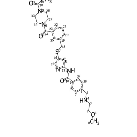 COCCNCc1ccc(C(=O)Nc2ncc(SCc3cccc(C(=O)N4CCN(C(C)=O)CC4)c3)s2)cc1